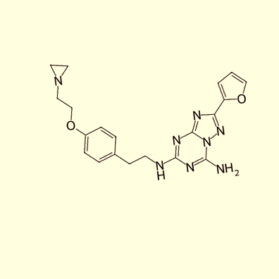 Nc1nc(NCCc2ccc(OCCN3CC3)cc2)nc2nc(-c3ccco3)nn12